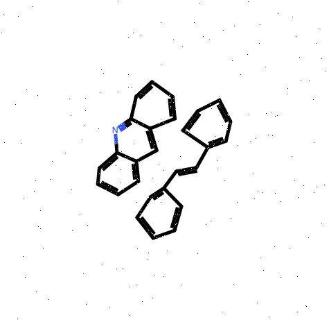 C(=Cc1ccccc1)c1ccccc1.c1ccc2nc3ccccc3cc2c1